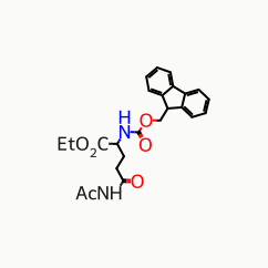 CCOC(=O)C(CCC(=O)NC(C)=O)NC(=O)OCC1c2ccccc2-c2ccccc21